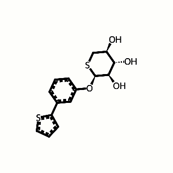 O[C@@H]1[C@@H](O)[C@@H](Oc2cccc(-c3cccs3)c2)SC[C@H]1O